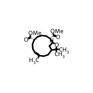 COC(=O)[C@H]1CC/C=C(/C)CCC2C[C@H](OC2(C)C)[C@@H](C(=O)OC)CCC1